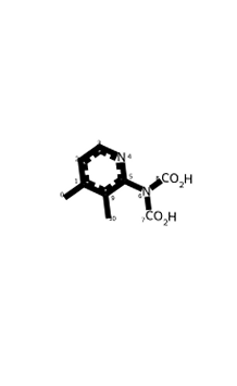 Cc1ccnc(N(C(=O)O)C(=O)O)c1C